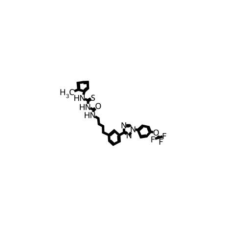 Cc1ccccc1NC(=S)NC(=O)NCCCCc1cccc(-c2ncn(-c3ccc(OC(F)(F)F)cc3)n2)c1